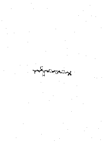 CC(C)CCC(=O)NCCOCCOCCOCCC(C)(C)C